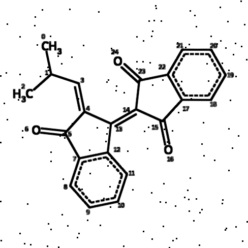 CC(C)C=C1C(=O)c2ccccc2C1=C1C(=O)c2ccccc2C1=O